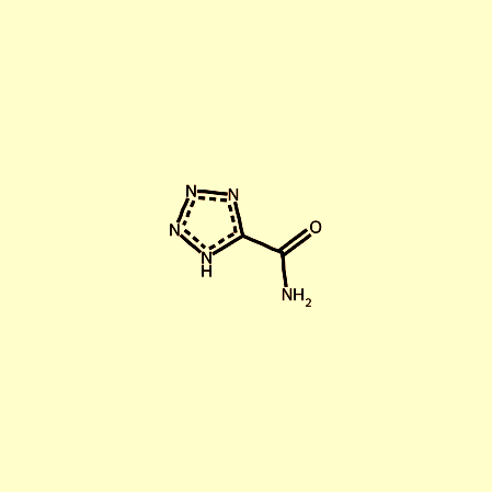 NC(=O)c1nnn[nH]1